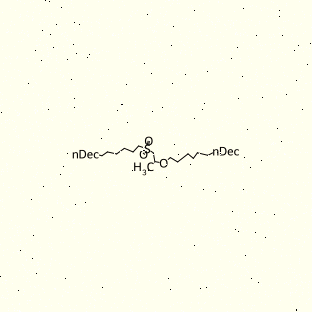 CCCCCCCCCCCCCCCCOC(C)CS(=O)(=O)CCCCCCCCCCCCCCCC